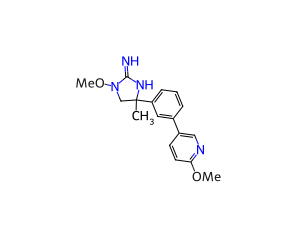 COc1ccc(-c2cccc(C3(C)CN(OC)C(=N)N3)c2)cn1